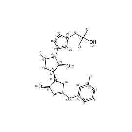 Cc1cccc(OC2=CC(=O)N([C@H]3CC(C)N(c4ccn(CC(C)(C)O)n4)C3=O)C2)c1